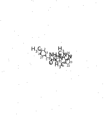 Cc1ccc(C[C@@H](N)C(=O)N2CCN(c3ncnc4c3[C@H](C)CC4)[C@@H](C)C2)cc1